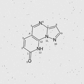 O=c1ccc2cnc3ccnn3c2[nH]1